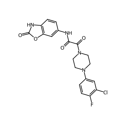 O=C(Nc1ccc2[nH]c(=O)oc2c1)C(=O)N1CCN(c2ccc(F)c(Cl)c2)CC1